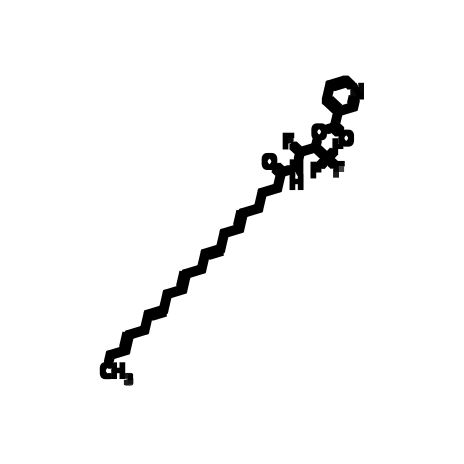 CCC=CCC=CCC=CCC=CCC=CCCCC(=O)NC(F)C(OC(=O)c1cccnc1)C(F)(F)F